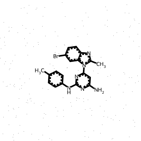 Cc1ccc(Nc2nc(N)cc(-n3c(C)nc4ccc(Br)cc43)n2)cc1